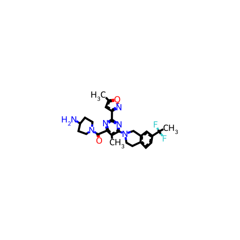 Cc1cc(-c2nc(C(=O)N3CCC(N)CC3)c(C)c(N3CCc4ccc(C(C)(F)F)cc4C3)n2)no1